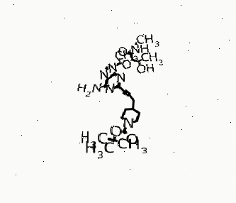 CCNC(=O)[C@@H](O[C@H](C)n1cnc2c(N)nc(C#CCC3CCN(C(=O)OC(C)(C)C)CC3)nc21)C(C)O